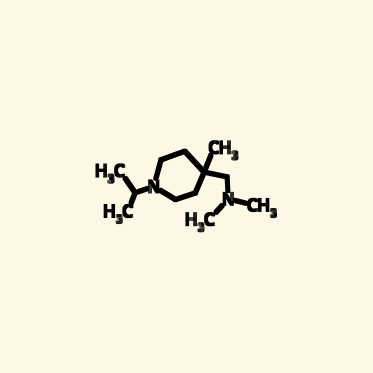 CC(C)N1CCC(C)(CN(C)C)CC1